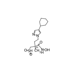 C[C@](CCn1cc(C2CCCCC2)cn1)(C[SH](=O)=O)C(=O)NO